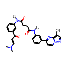 CCN(C(=O)CCC(=O)N(CC)c1cccc(-c2ccn3ncc(C#N)c3n2)c1)c1cccc(C(=O)C=CN(C)C)c1